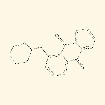 O=C1c2ccccc2C(=O)c2c(CC3[CH]CCCC3)cccc21